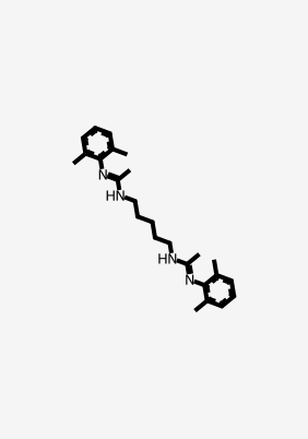 C/C(=N\c1c(C)cccc1C)NCCCCCN/C(C)=N/c1c(C)cccc1C